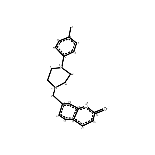 Cc1ccc(N2CCN(Cc3ccc4ccc(=O)oc4c3)CC2)cc1